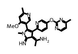 COc1cc(C)ncc1C1=C(c2ccc(Oc3nccc(C)n3)cn2)/C(=C(/C)N)C(=N)N1C